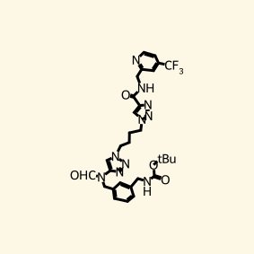 CC(C)(C)OC(=O)NCc1cccc(CN(C=O)c2cn(CCCCn3cc(C(=O)NCc4cc(C(F)(F)F)ccn4)nn3)nn2)c1